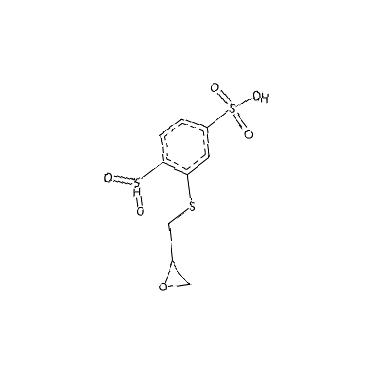 O=[SH](=O)c1ccc(S(=O)(=O)O)cc1SCC1CO1